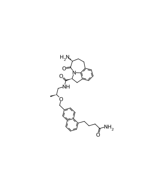 C[C@@H](CNC(=O)[C@@H]1Cc2cccc3c2N1C(=O)[C@@H](N)CC3)OCc1ccc2c(CCCC(N)=O)cccc2c1